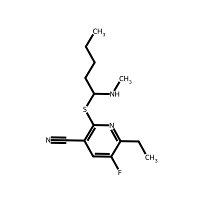 CCCCC(NC)Sc1nc(CC)c(F)cc1C#N